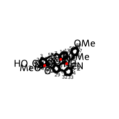 COc1ccc(CN(Cc2ccc(OC)cc2)S(=O)(=O)c2c(S(=O)(=O)C3CN(C(=O)O)C3)ccc(-c3cccc(C#N)c3N)c2-c2nnn(Cc3ccc(OC)cc3)n2)cc1